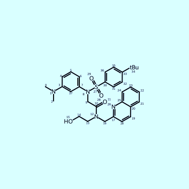 CN(C)c1cccc(N(CC(=O)N(CCO)Cc2ccc3ccccc3n2)S(=O)(=O)c2ccc(C(C)(C)C)cc2)c1